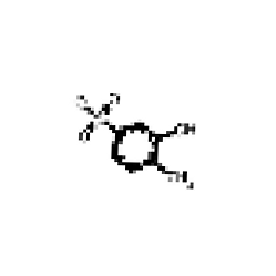 Cc1ccc(S([O])(=O)=O)cc1O